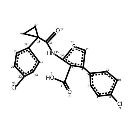 O=C(O)c1c(-c2ccc(Cl)cc2)csc1NC(=O)C1(c2ccc(Cl)cc2)CC1